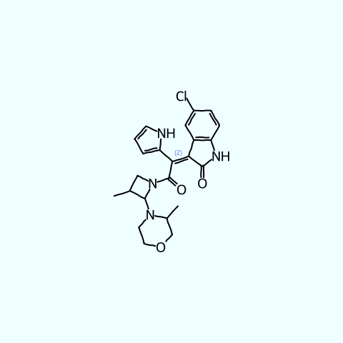 CC1CN(C(=O)/C(=C2\C(=O)Nc3ccc(Cl)cc32)c2ccc[nH]2)C1N1CCOCC1C